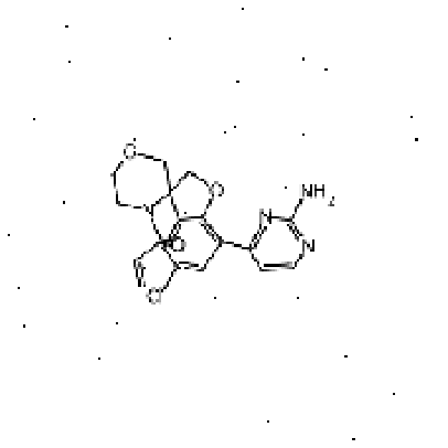 C=CC(=O)N1CCOCC12COc1c(-c3ccnc(N)n3)cc(Cl)cc12